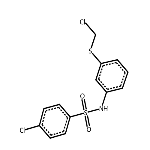 O=S(=O)(Nc1cccc(SCCl)c1)c1ccc(Cl)cc1